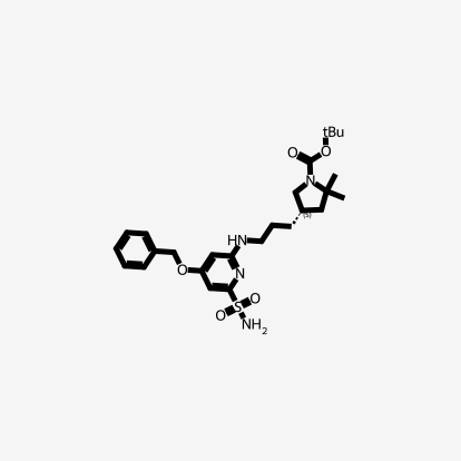 CC(C)(C)OC(=O)N1C[C@@H](CCCNc2cc(OCc3ccccc3)cc(S(N)(=O)=O)n2)CC1(C)C